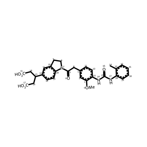 COc1cc(CC(=O)N2CCc3cc(C(CC(=O)O)CC(=O)O)ccc32)ccc1NC(=O)Nc1ccccc1C